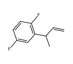 C=C[C](C)c1cc(F)ccc1F